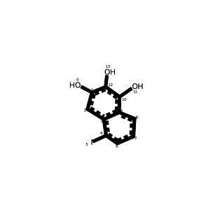 Oc1cc2c(I)cccc2c(O)c1O